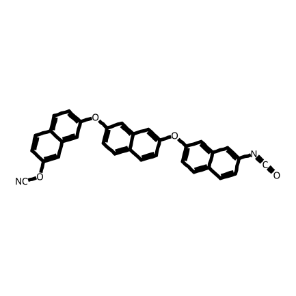 N#COc1ccc2ccc(Oc3ccc4ccc(Oc5ccc6ccc(N=C=O)cc6c5)cc4c3)cc2c1